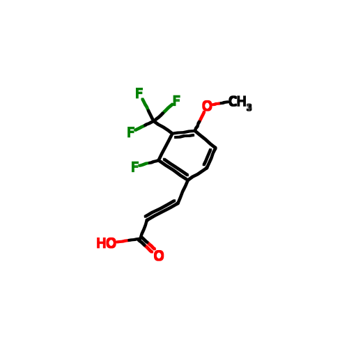 COc1ccc(C=CC(=O)O)c(F)c1C(F)(F)F